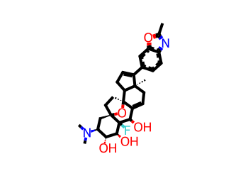 Cc1nc2ccc(C3=CCC4[C@]3(C)CC=C3C(O)C5(F)[C@@H](O)[C@H](O)[C@@H](N(C)C)C[C@]56CC[C@@]34O6)cc2o1